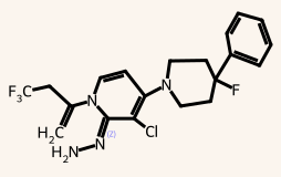 C=C(CC(F)(F)F)n1ccc(N2CCC(F)(c3ccccc3)CC2)c(Cl)/c1=N/N